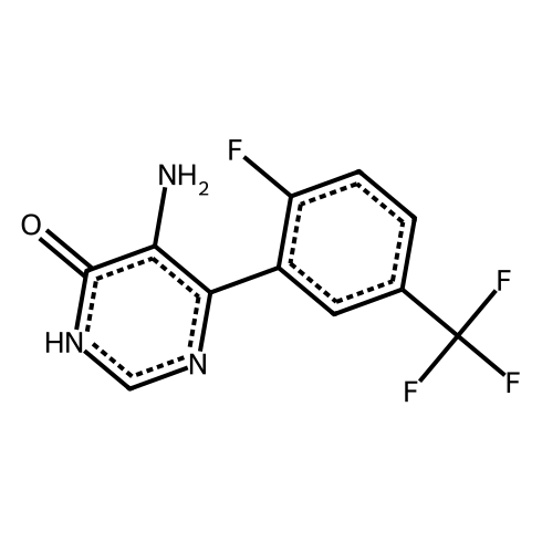 Nc1c(-c2cc(C(F)(F)F)ccc2F)nc[nH]c1=O